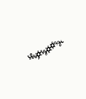 C=CC(=O)OCOc1ccc(-c2ccc(C(=O)OCCc3ccc(OCOC(=O)C=C)c(F)c3)cc2)cc1